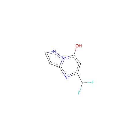 Oc1cc(C(F)F)nc2ccnn12